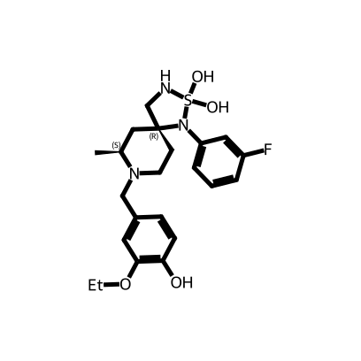 CCOc1cc(CN2CC[C@]3(CNS(O)(O)N3c3cccc(F)c3)C[C@@H]2C)ccc1O